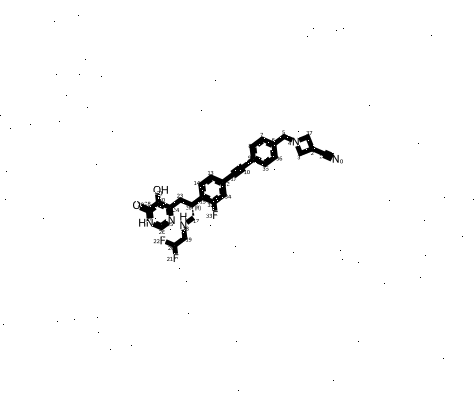 N#CC1CN(Cc2ccc(C#Cc3ccc([C@H](CNCC(F)F)Cc4nc[nH]c(=O)c4O)c(F)c3)cc2)C1